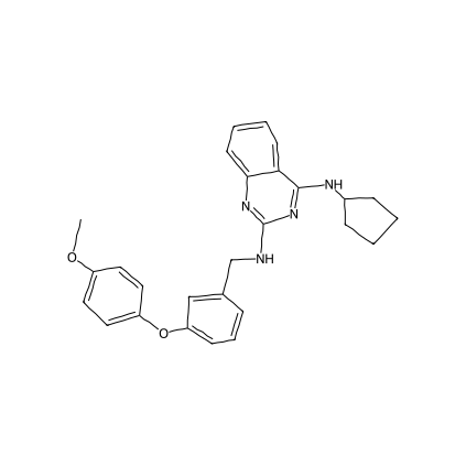 COc1ccc(Oc2cccc(CNc3nc(NC4CCCC4)c4ccccc4n3)c2)cc1